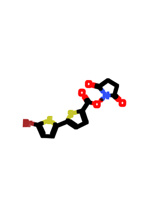 O=C(ON1C(=O)CCC1=O)c1ccc(-c2ccc(Br)s2)s1